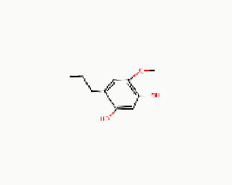 CC[CH]c1cc(OC)c(O)cc1O